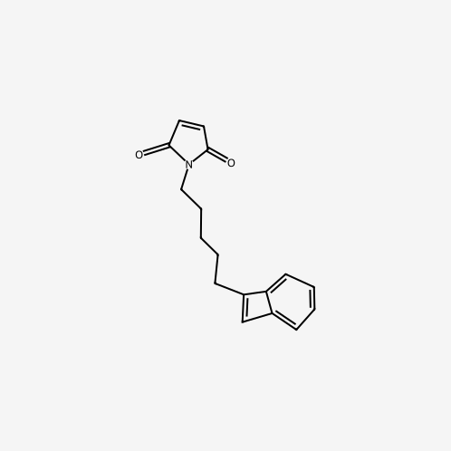 O=C1C=CC(=O)N1CCCCCC1=Cc2ccccc21